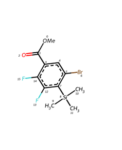 COC(=O)c1cc(Br)c([Si](C)(C)C)c(F)c1F